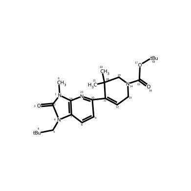 Cn1c(=O)n(CC(C)(C)C)c2ccc(C3=CCN(C(=O)OC(C)(C)C)CC3(C)C)nc21